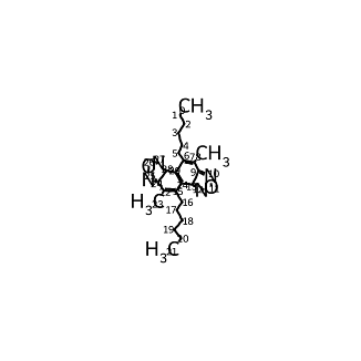 CCCCCCc1c(C)c2nonc2c2c(CCCCCC)c(C)c3nonc3c12